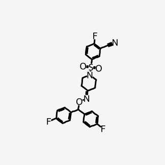 N#Cc1cc(S(=O)(=O)N2CCC(=NOC(c3ccc(F)cc3)c3ccc(F)cc3)CC2)ccc1F